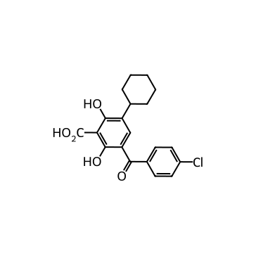 O=C(c1ccc(Cl)cc1)c1cc(C2CCCCC2)c(O)c(C(=O)O)c1O